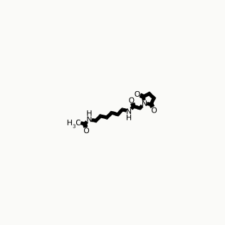 CC(=O)NCCCCCCNC(=O)CN1C(=O)CCC1=O